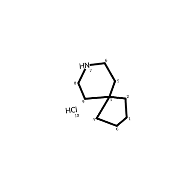 C1CCC2(C1)CCNCC2.Cl